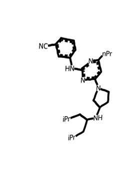 CCCc1cc(N2CCC(NC(CC(C)C)CC(C)C)C2)nc(Nc2cccc(C#N)c2)n1